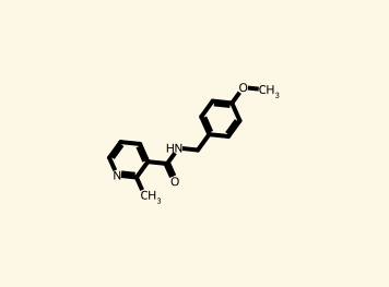 COc1ccc(CNC(=O)c2cccnc2C)cc1